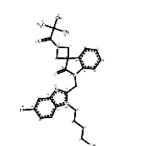 CC(C)(O)C(=O)N1CC2(C1)C(=O)N(Cc1nc3cc(Cl)ccc3n1CCCCO)c1ccccc12